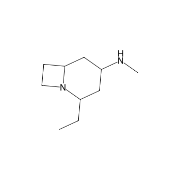 CCC1CC(NC)CC2CCN12